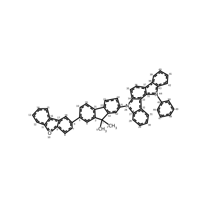 CC1(C)c2cc(-c3ccc4oc5ccccc5c4c3)ccc2-c2ccc(-n3c4ccccc4c4c3ccc3c5ccccc5n(-c5ccccc5)c34)cc21